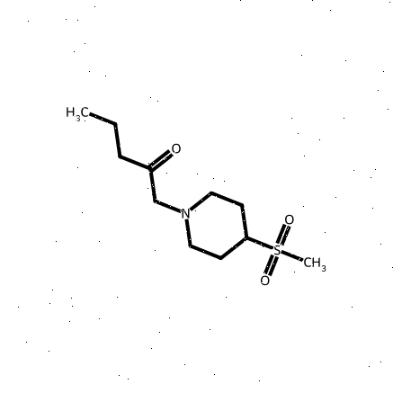 CCCC(=O)CN1CCC(S(C)(=O)=O)CC1